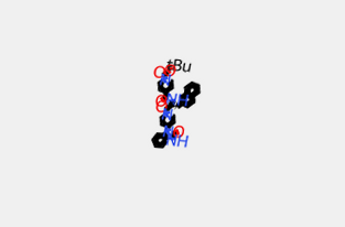 CC(C)(C)OC(=O)N1CCC(C(=O)N[C@H](Cc2ccc3ccccc3c2)C(=O)N2CCC(n3c(=O)[nH]c4ccccc43)CC2)CC1